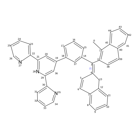 Cc1c(/C(=C2/C=Cc3ccccc3C2)c2cccc(-c3cc(-c4ccccn4)nc(-c4ccccn4)c3)c2)ccc2ccccc12